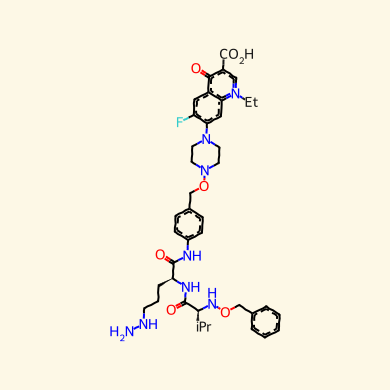 CCn1cc(C(=O)O)c(=O)c2cc(F)c(N3CCN(OCc4ccc(NC(=O)[C@H](CCCNN)NC(=O)[C@@H](NOCc5ccccc5)C(C)C)cc4)CC3)cc21